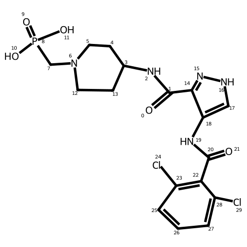 O=C(NC1CCN(CP(=O)(O)O)CC1)c1n[nH]cc1NC(=O)c1c(Cl)cccc1Cl